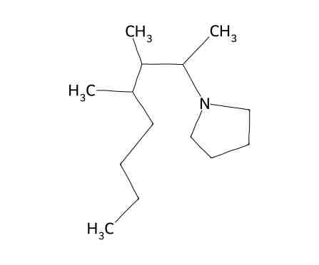 CCCCC(C)C(C)C(C)N1CCCC1